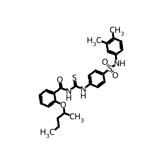 CCCC(C)Oc1ccccc1C(=O)NC(=S)Nc1ccc(S(=O)(=O)Nc2ccc(C)c(C)c2)cc1